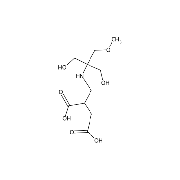 COCC(CO)(CO)NCC(CC(=O)O)C(=O)O